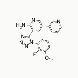 COc1cccc(-n2nnnc2-c2cc(-c3cccnc3)cnc2N)c1F